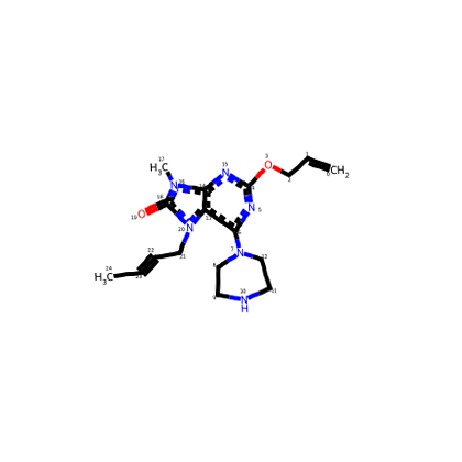 C=CCOc1nc(N2CCNCC2)c2c(n1)n(C)c(=O)n2CC#CC